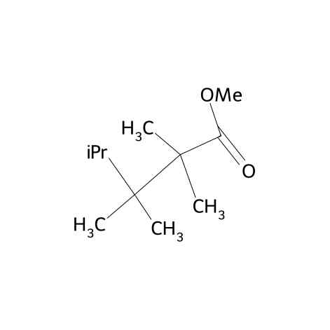 COC(=O)C(C)(C)C(C)(C)C(C)C